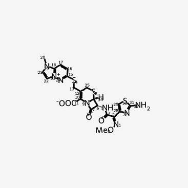 CO/N=C(\C(=O)N[C@@H]1C(=O)N2C(C(=O)[O-])=C(CSc3ccc4n(C)cc[n+]4n3)CS[C@H]12)c1csc(N)n1